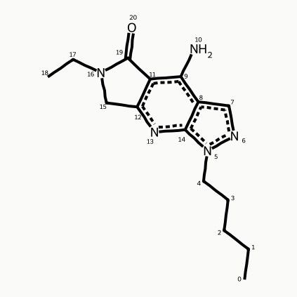 CCCCCn1ncc2c(N)c3c(nc21)CN(CC)C3=O